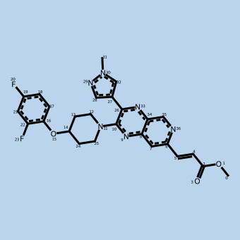 COC(=O)/C=C/c1cc2nc(N3CCC(Oc4ccc(F)cc4F)CC3)c(-c3cnn(C)c3)nc2cn1